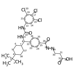 CC(C)(C)C1CCC(C(NC(=O)Nc2cc(Cl)c(Cl)c(Cl)c2)c2ccc(C(=O)N=NCCC(=O)O)cc2)CC1